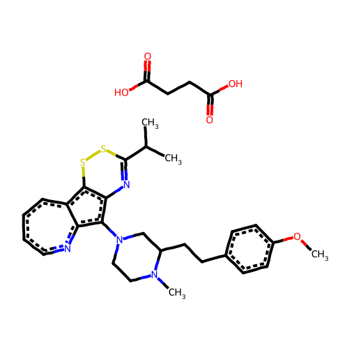 COc1ccc(CCC2CN(c3c4nccccc-4c4c3N=C(C(C)C)SS4)CCN2C)cc1.O=C(O)CCC(=O)O